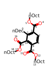 CCCCCCCCCCc1c(C(=O)OCCCCCCCC)ccc(C(=O)OCCCCCCCC)c1C(=O)OCCCCCCCC